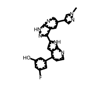 Cn1cc(-c2cnc3[nH]nc(-c4cc5c(-c6cc(O)cc(F)c6)ccnc5[nH]4)c3c2)cn1